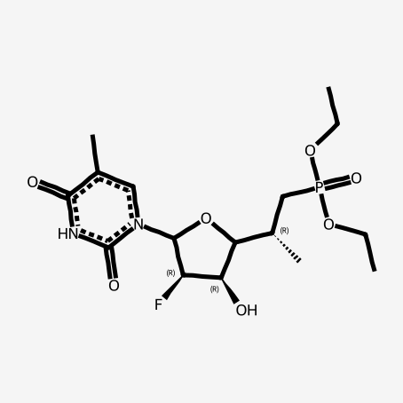 CCOP(=O)(C[C@H](C)C1OC(n2cc(C)c(=O)[nH]c2=O)[C@H](F)[C@@H]1O)OCC